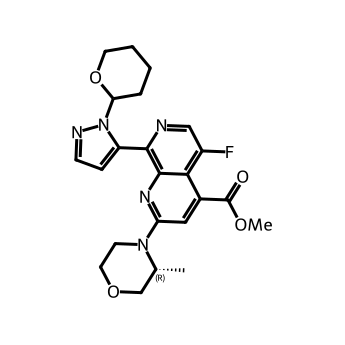 COC(=O)c1cc(N2CCOC[C@H]2C)nc2c(-c3ccnn3C3CCCCO3)ncc(F)c12